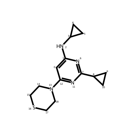 c1c(NC2CC2)nc(C2CC2)nc1N1CCSCC1